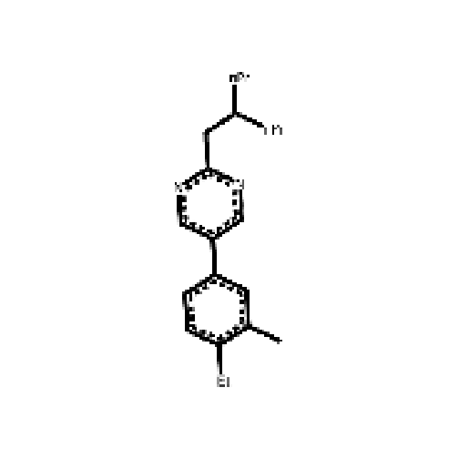 CCCC(CCC)Cc1ncc(-c2ccc(CC)c(C)c2)cn1